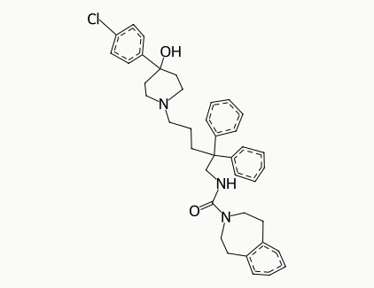 O=C(NCC(CCCN1CCC(O)(c2ccc(Cl)cc2)CC1)(c1ccccc1)c1ccccc1)N1CCc2ccccc2CC1